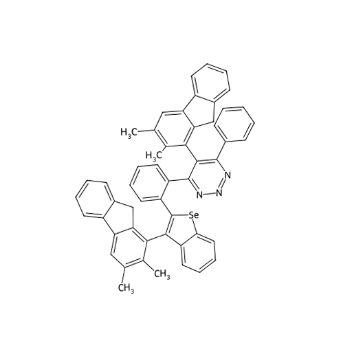 Cc1cc2c(c(-c3c(-c4ccccc4)nnnc3-c3ccccc3-c3[se]c4ccccc4c3-c3c(C)c(C)cc4c3Cc3ccccc3-4)c1C)Cc1ccccc1-2